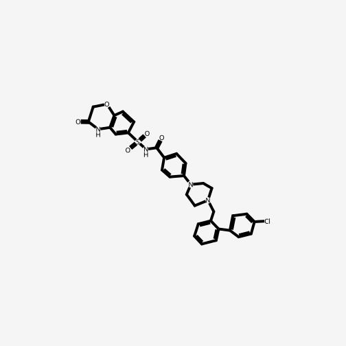 O=C1COc2ccc(S(=O)(=O)NC(=O)c3ccc(N4CCN(Cc5ccccc5-c5ccc(Cl)cc5)CC4)cc3)cc2N1